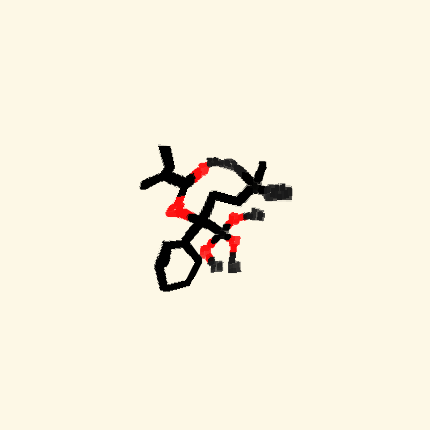 C=C(C)C(=O)OC(CC[Si](C)(OC)OC)(C1CCCCC1)[Si](OCC)(OCC)OCC